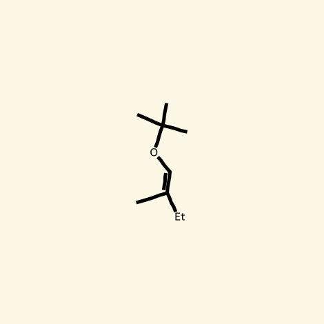 CC/C(C)=C/OC(C)(C)C